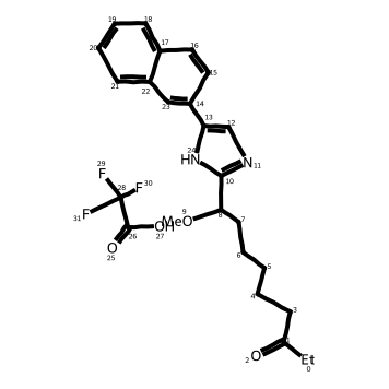 CCC(=O)CCCCCC(OC)c1ncc(-c2ccc3ccccc3c2)[nH]1.O=C(O)C(F)(F)F